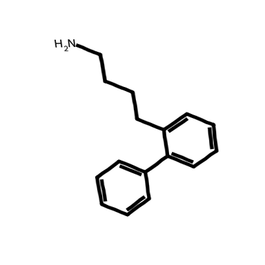 NCCCCc1ccccc1-c1ccccc1